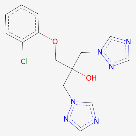 OC(COc1ccccc1Cl)(Cn1cncn1)Cn1cncn1